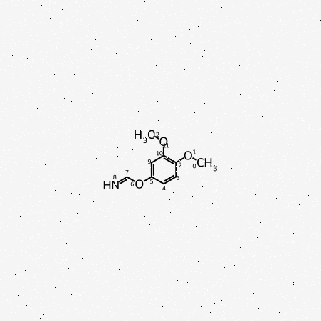 COc1ccc(OC=N)cc1OC